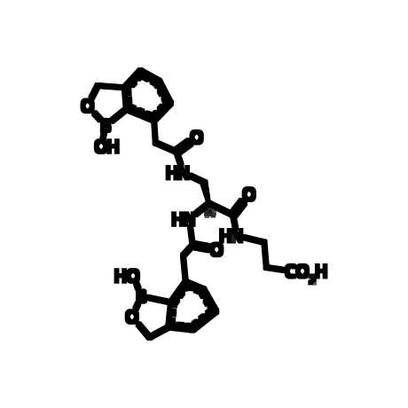 O=C(O)CCNC(=O)[C@H](CNC(=O)Cc1cccc2c1B(O)OC2)NC(=O)Cc1cccc2c1B(O)OC2